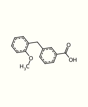 COc1ccccc1Cc1cccc(C(=O)O)c1